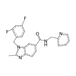 Cc1nc2ccc(C(=O)NCc3ccccn3)cc2n1Cc1ccc(F)cc1F